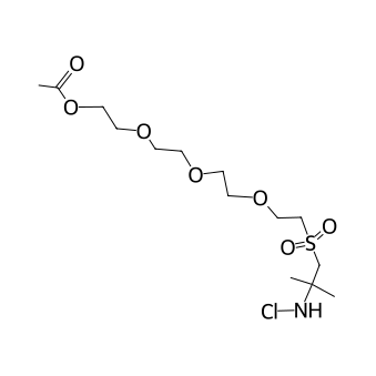 CC(=O)OCCOCCOCCOCCS(=O)(=O)CC(C)(C)NCl